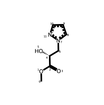 COC(=O)[C@H](O)Cn1cccn1